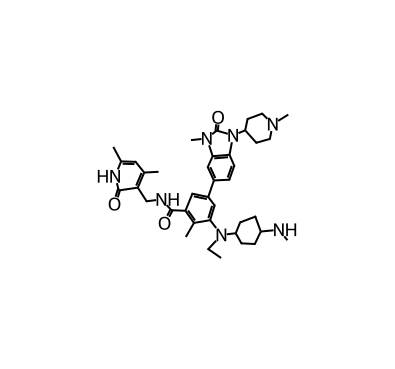 CCN(c1cc(-c2ccc3c(c2)n(C)c(=O)n3C2CCN(C)CC2)cc(C(=O)NCc2c(C)cc(C)[nH]c2=O)c1C)C1CCC(NC)CC1